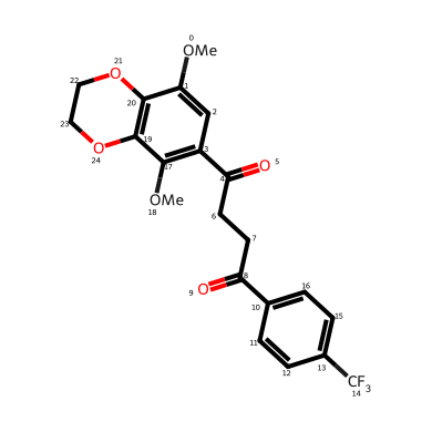 COc1cc(C(=O)CCC(=O)c2ccc(C(F)(F)F)cc2)c(OC)c2c1OCCO2